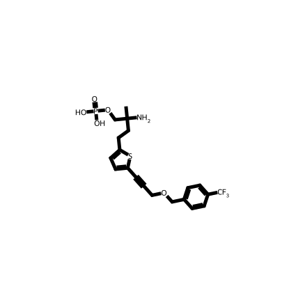 CC(N)(CCc1ccc(C#CCOCc2ccc(C(F)(F)F)cc2)s1)COP(=O)(O)O